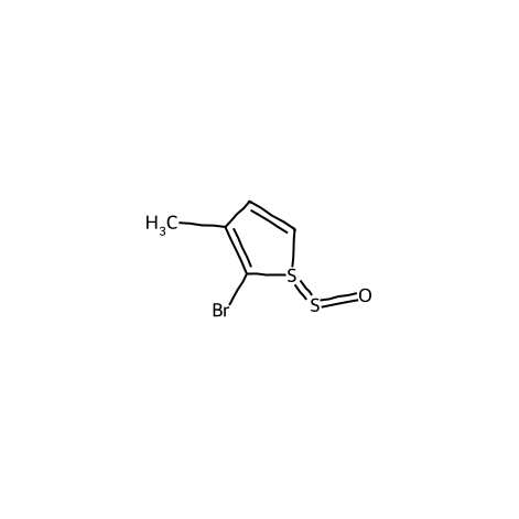 CC1=C(Br)S(=S=O)C=C1